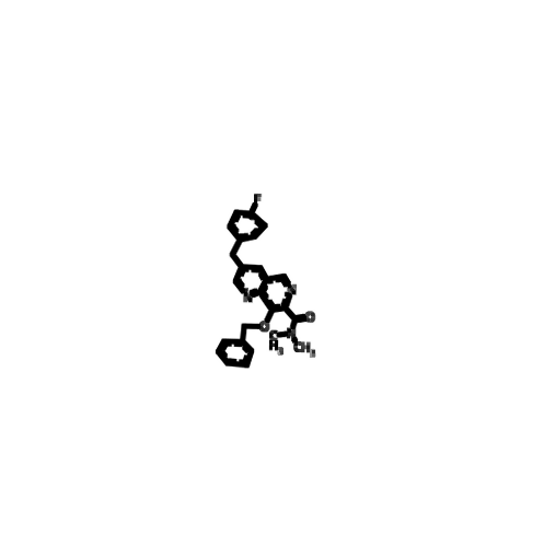 CN(C)C(=O)c1ncc2cc(Cc3ccc(F)cc3)cnc2c1OCc1ccccc1